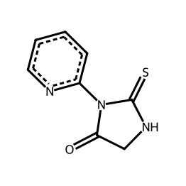 O=C1CNC(=S)N1c1ccccn1